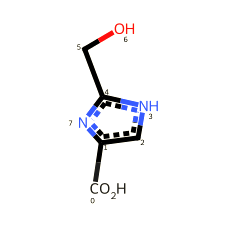 O=C(O)c1c[nH]c(CO)n1